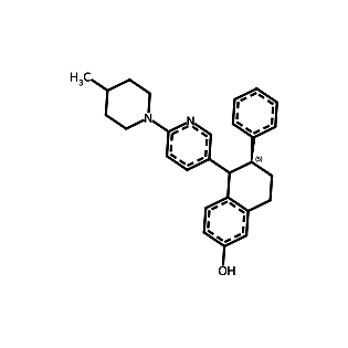 CC1CCN(c2ccc(C3c4ccc(O)cc4CC[C@@H]3c3ccccc3)cn2)CC1